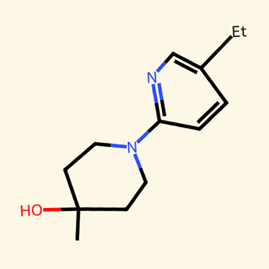 CCc1ccc(N2CCC(C)(O)CC2)nc1